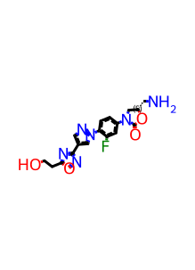 NC[C@H]1CN(c2ccc(-n3cc(-c4noc(CCO)n4)cn3)c(F)c2)C(=O)O1